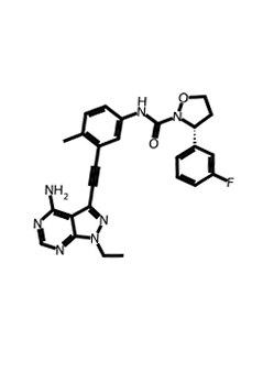 CCn1nc(C#Cc2cc(NC(=O)N3OCC[C@@H]3c3cccc(F)c3)ccc2C)c2c(N)ncnc21